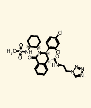 CS(=O)(=O)N[C@H]1CCCC[C@@H]1N1C(=O)c2ccccc2[C@@H](C(=O)NCCn2cnnn2)[C@@H]1c1ccc(Cl)cc1Cl